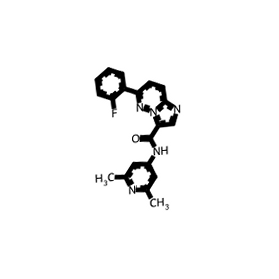 Cc1cc(NC(=O)c2cnc3ccc(-c4ccccc4F)nn23)cc(C)n1